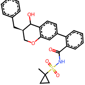 CC1(S(=O)(=O)NC(=O)c2ccccc2-c2ccc3c(c2)OC[C@@H](Cc2ccccc2)C3O)CC1